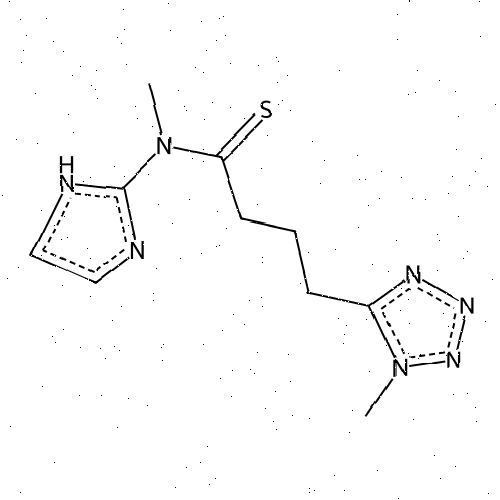 CN(C(=S)CCCc1nnnn1C)c1ncc[nH]1